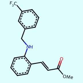 COC(=O)C=Cc1ccccc1NCc1cccc(C(F)(F)F)c1